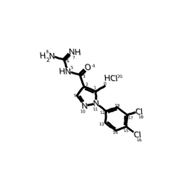 Cc1c(C(=O)NC(=N)N)cnn1-c1ccc(Cl)c(Cl)c1.Cl